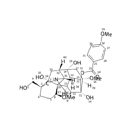 CCN1C[C@]2(CO)CC[C@H](OC)[C@@]34[C@@H]5C[C@]6(O)[C@@H](OC)C[C@@](O)([C@H]5[C@H]6OC(=O)c5ccc(OC)cc5)[C@@H](C[C@]23O)[C@@H]14